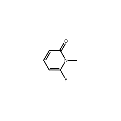 Cn1c(F)cccc1=O